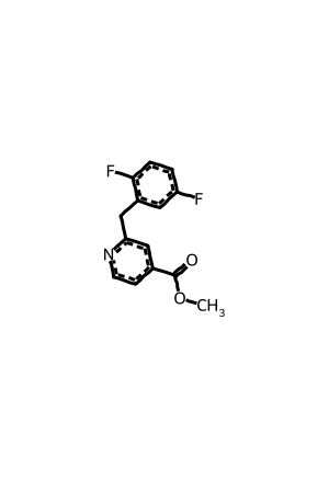 COC(=O)c1ccnc(Cc2cc(F)ccc2F)c1